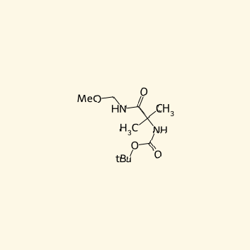 COCNC(=O)C(C)(C)NC(=O)OC(C)(C)C